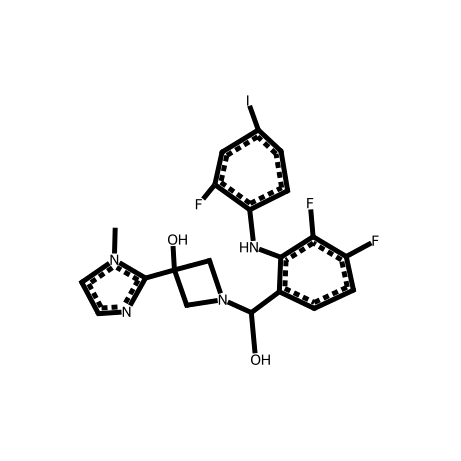 Cn1ccnc1C1(O)CN(C(O)c2ccc(F)c(F)c2Nc2ccc(I)cc2F)C1